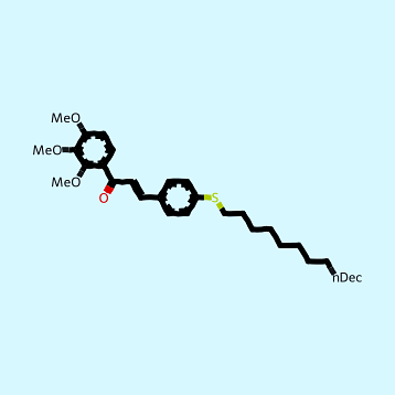 CCCCCCCCCCCCCCCCCCSc1ccc(C=CC(=O)c2ccc(OC)c(OC)c2OC)cc1